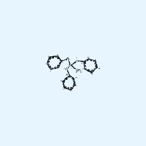 C[Si](Oc1ccccc1)(Oc1ccccc1)Oc1ccccc1